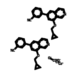 N#Cc1cccc(-c2cc(OCC3CC3)c3cnccc3c2)c1.N#Cc1cccc(-c2cc(OCC3CC3)c3cnccc3c2)c1.O=C([O-])[O-].[Cs+].[Cs+]